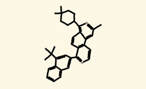 Cc1cc2c(ccc3c(-c4cc(C(C)(C)C)c5ccccc5c4)nccc32)c(C2CCC(C)(C)CC2)n1